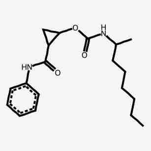 CCCCCCC(C)NC(=O)OC1CC1C(=O)Nc1ccccc1